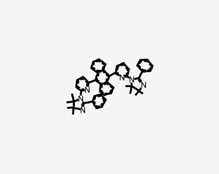 CC1(C)N=C(c2ccccc2)N(c2cccc(-c3c4ccccc4c(-c4cccc(N5C(c6ccccc6)=NC(C)(C)C5(C)C)n4)c4ccccc34)n2)C1(C)C